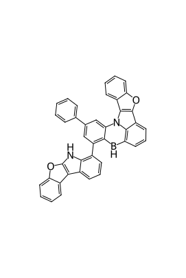 B1c2c(-c3cccc4c3[nH]c3oc5ccccc5c34)cc(-c3ccccc3)cc2-n2c3c1cccc3c1oc3ccccc3c12